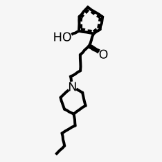 CCCCC1CCN(CCCC(=O)c2ccccc2O)CC1